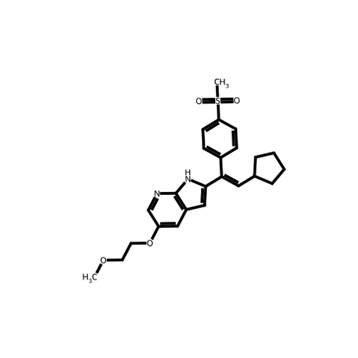 COCCOc1cnc2[nH]c(C(=CC3CCCC3)c3ccc(S(C)(=O)=O)cc3)cc2c1